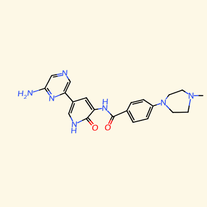 CN1CCN(c2ccc(C(=O)Nc3cc(-c4cncc(N)n4)c[nH]c3=O)cc2)CC1